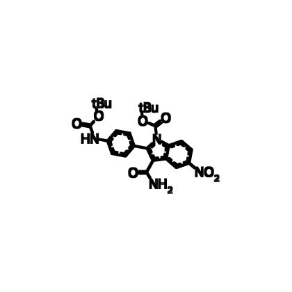 CC(C)(C)OC(=O)Nc1ccc(-c2c(C(N)=O)c3cc([N+](=O)[O-])ccc3n2C(=O)OC(C)(C)C)cc1